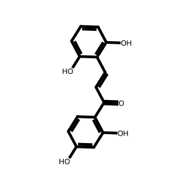 O=C(C=Cc1c(O)cccc1O)c1ccc(O)cc1O